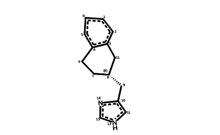 c1ccc2c(c1)CC[C@@H](Cc1c[nH]cn1)C2